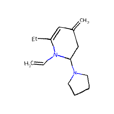 C=CN1C(CC)=CC(=C)CC1N1CCCC1